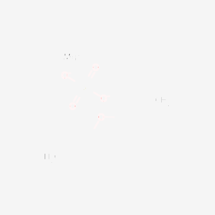 C=CCOCC=C.O=S(=O)([O-])[O-].[Mg+2]